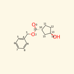 O=C(OCc1ccccc1)[C@@H]1CC[C@@H](O)C1